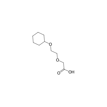 O=C(O)COCCOC1CCCCC1